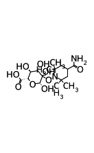 CC1(C)CC(C(N)=O)CC(C)(C)N1O[C@]1(O)[C@H](O)O[C@H](C(=O)O)[C@@H](O)[C@@H]1O